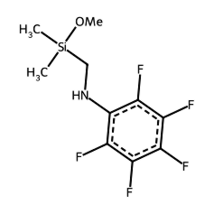 CO[Si](C)(C)CNc1c(F)c(F)c(F)c(F)c1F